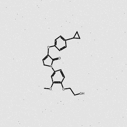 COc1cc(N2CC=C(Oc3ccc(C4CC4)cc3)C2=O)ccc1OCCO